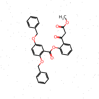 COC(=O)CC(=O)c1ccccc1OC(=O)c1cc(OCc2ccccc2)ccc1OCc1ccccc1